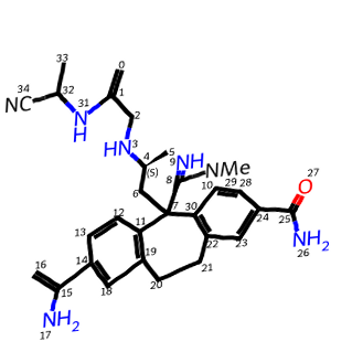 C=C(CN[C@@H](C)CC1(C(=N)NC)c2ccc(C(=C)N)cc2CCc2cc(C(N)=O)ccc21)NC(C)C#N